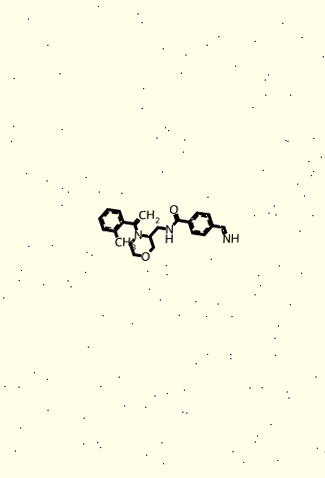 C=C(c1ccccc1C)N1CCOCC1CNC(=O)c1ccc(C=N)cc1